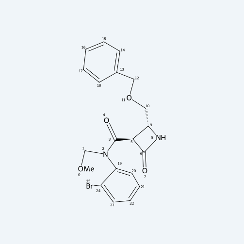 COCN(C(=O)[C@@H]1C(=O)N[C@H]1COCc1ccccc1)c1ccccc1Br